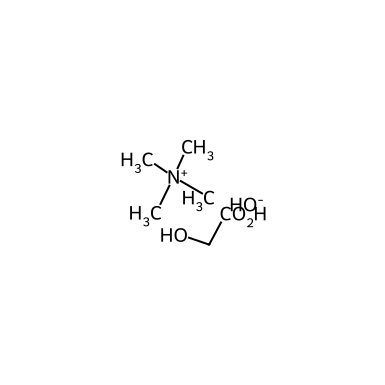 C[N+](C)(C)C.O=C(O)CO.[OH-]